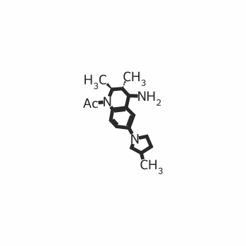 CC(=O)N1c2ccc(N3CCC(C)C3)cc2C(N)[C@@H](C)[C@@H]1C